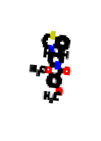 COc1ccc(OC)c(C(=O)N2CC[C@@H]3[C@H](C2)c2cccc4c2N3CCCS4)c1